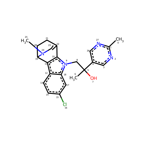 Cc1ncc(C(C)(O)Cn2c3c(c4ccc(Cl)cc42)C2CCC3=CN2C)cn1